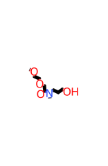 COCCOCC(=O)N(C)CCCO